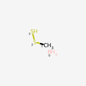 B.CSS